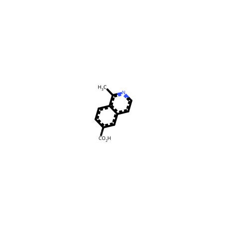 Cc1nccc2cc(C(=O)O)ccc12